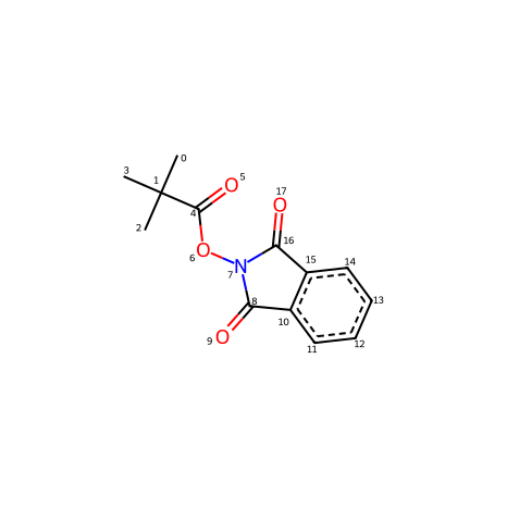 CC(C)(C)C(=O)ON1C(=O)c2ccccc2C1=O